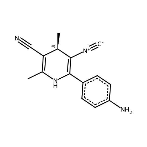 [C-]#[N+]C1=C(c2ccc(N)cc2)NC(C)=C(C#N)[C@H]1C